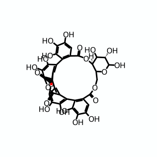 O=C1OCC2OC(O)[C@@H](O)C(O)[C@@H]2OC(=O)c2cc(O)c(O)c(O)c2-c2c(O)c(O)c3oc(=O)c4c(c(O)c(O)c5oc(=O)c2c3c54)-c2c1cc(O)c(O)c2O